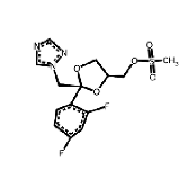 CS(=O)(=O)OC[C@@H]1CO[C@@](Cn2cncn2)(c2ccc(F)cc2F)O1